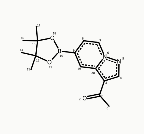 CC(=O)c1cnn2ccc(B3OC(C)(C)C(C)(C)O3)cc12